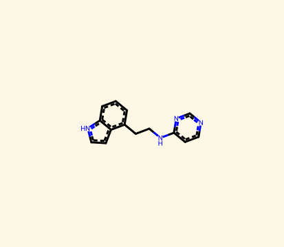 c1cc(CCNc2ccncn2)c2cc[nH]c2c1